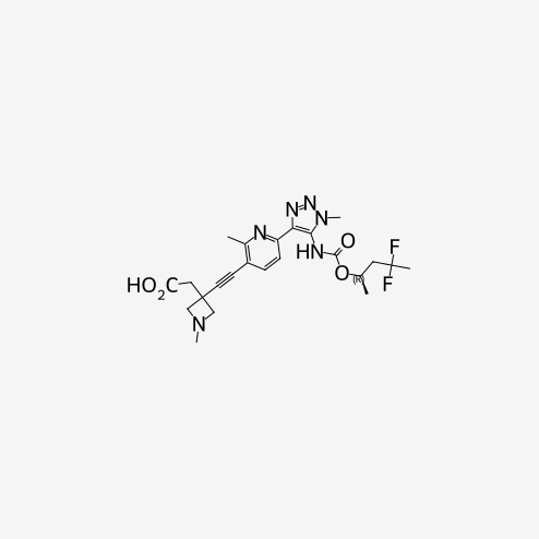 Cc1nc(-c2nnn(C)c2NC(=O)O[C@H](C)CC(C)(F)F)ccc1C#CC1(CC(=O)O)CN(C)C1